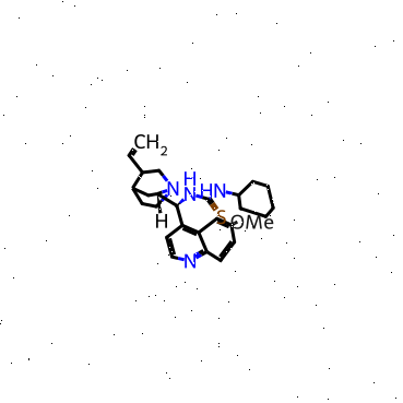 C=CC1CN2CCC1C[C@H]2[C@@H](NC(=S)NC1CCCCC1)c1ccnc2ccc(OC)cc12